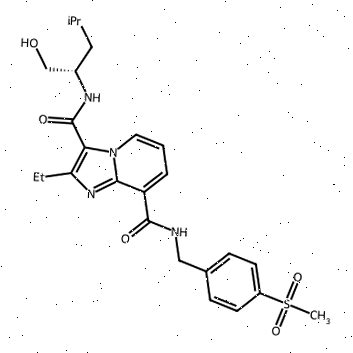 CCc1nc2c(C(=O)NCc3ccc(S(C)(=O)=O)cc3)cccn2c1C(=O)N[C@H](CO)CC(C)C